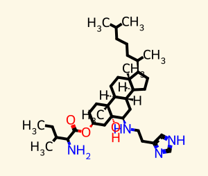 CCC(C)C(N)C(=O)O[C@H]1CC[C@]2(C)[C@H]3CC[C@]4(C)[C@@H](C(C)CCCC(C)C)CC[C@H]4[C@@H]3C[C@@H](NCCc3c[nH]cn3)[C@@]2(O)C1